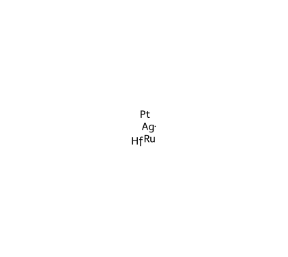 [Ag].[Hf].[Pt].[Ru]